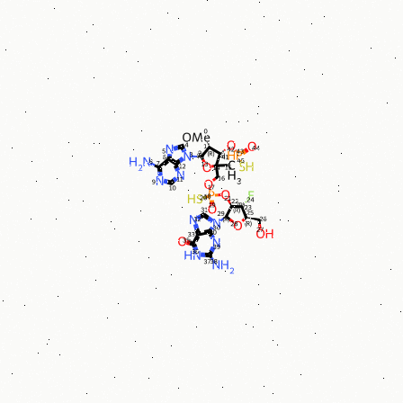 CO[C@H]1[C@H](n2cnc3c(N)ncnc32)OC(C)(COP(=O)(S)O[C@H]2[C@H](F)[C@@H](CO)O[C@H]2n2cnc3c(=O)[nH]c(N)nc32)[C@H]1O[PH](=O)S